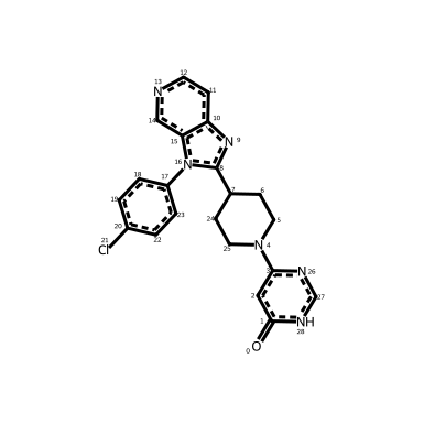 O=c1cc(N2CCC(c3nc4ccncc4n3-c3ccc(Cl)cc3)CC2)nc[nH]1